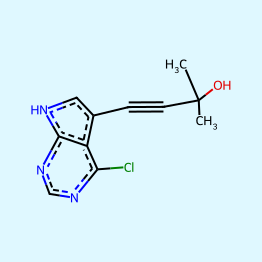 CC(C)(O)C#Cc1c[nH]c2ncnc(Cl)c12